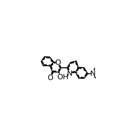 CN(C)c1ccc2nc(-c3oc4ccccc4c(=O)c3O)ccc2c1